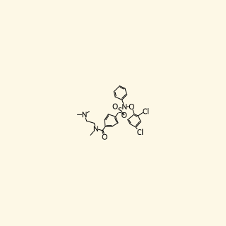 CN(C)CCN(C)C(=O)c1ccc(S(=O)(=O)N(Oc2ccc(Cl)cc2Cl)c2ccccc2)cc1